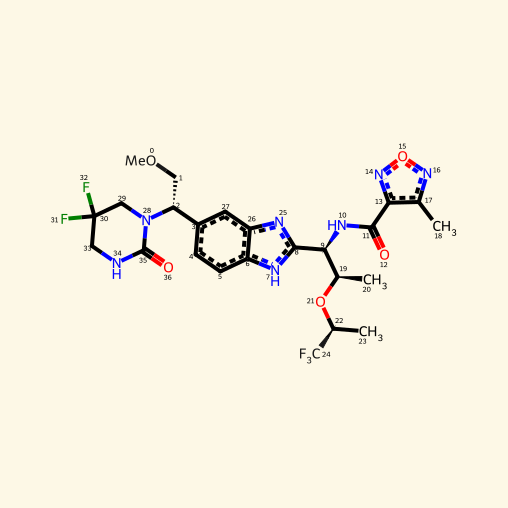 COC[C@H](c1ccc2[nH]c([C@@H](NC(=O)c3nonc3C)[C@@H](C)O[C@@H](C)C(F)(F)F)nc2c1)N1CC(F)(F)CNC1=O